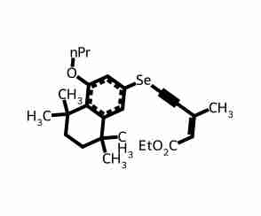 CCCOc1cc([Se]C#CC(C)=CC(=O)OCC)cc2c1C(C)(C)CCC2(C)C